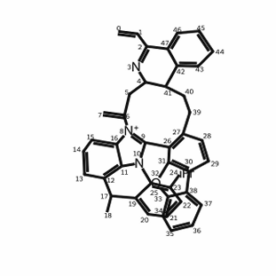 C=CC1=NC2CC(=C)[n+]3c(n4c5c(cccc53)C(C)c3cccc(C(C)C)c3-4)-c3c(ccc4c3oc3ccccc34)CCC2c2ccccc21